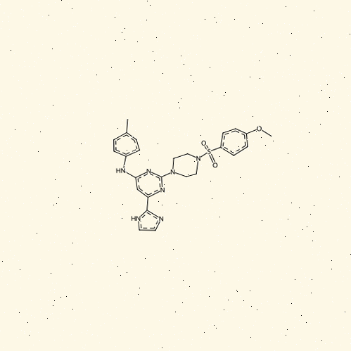 COc1ccc(S(=O)(=O)N2CCN(c3nc(Nc4ccc(C)cc4)cc(-c4ncc[nH]4)n3)CC2)cc1